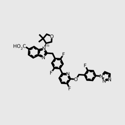 CC1(C)COC[C@H]1n1c(Cc2cc(F)c(-c3ccc(F)c(OCc4ccc(-n5ccnn5)cc4F)n3)cc2F)nc2ccc(C(=O)O)cc21